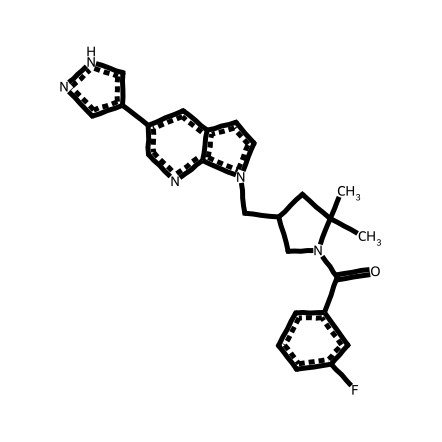 CC1(C)CC(Cn2ccc3cc(-c4cn[nH]c4)cnc32)CN1C(=O)c1cccc(F)c1